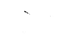 C[C@H]1COCC[C@@H]1O